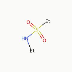 [CH2]CS(=O)(=O)NCC